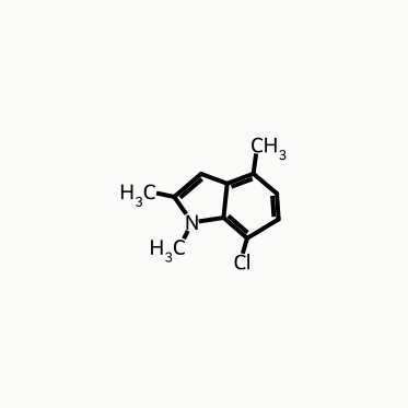 Cc1ccc(Cl)c2c1cc(C)n2C